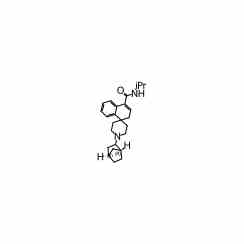 CC(C)NC(=O)C1=CCC2(CCN(C3C[C@@H]4CC[C@@H]3C4)CC2)c2ccccc21